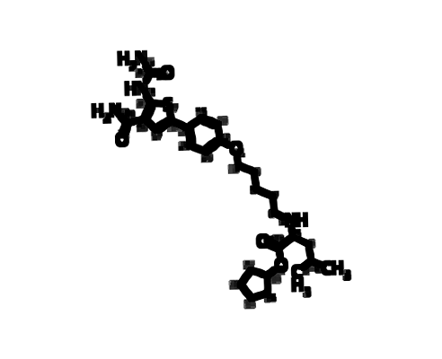 CC(C)C[C@H](NCCCCCOc1ccc(-c2cc(C(N)=O)c(NC(N)=O)s2)cc1)C(=O)OC1CCCC1